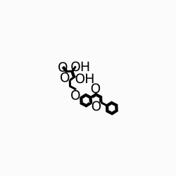 O=C1OC(CCOc2ccc3oc(-c4ccccc4)cc(=O)c3c2)C(O)=C1O